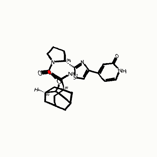 NC(=O)[C@]12CC3CC(C1)C(OC(=O)N1CCC[C@@H]1c1nc(-c4cc[nH]c(=O)c4)cs1)[C@@H](C3)C2